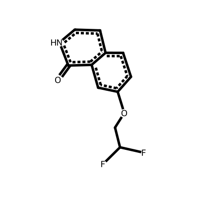 O=c1[nH]ccc2ccc(OCC(F)F)cc12